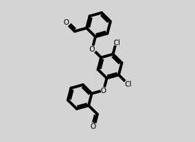 O=Cc1ccccc1Oc1cc(Oc2ccccc2C=O)c(Cl)cc1Cl